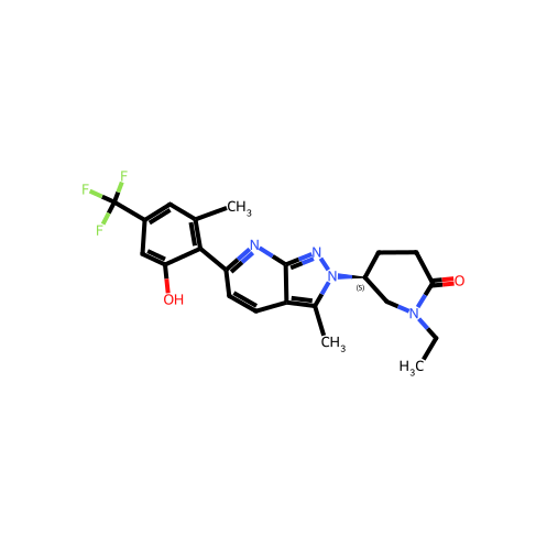 CCN1C[C@@H](n2nc3nc(-c4c(C)cc(C(F)(F)F)cc4O)ccc3c2C)CCC1=O